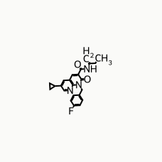 C=C(CC)NC(=O)c1cc2cc(C3CC3)cnc2n(Cc2ccc(F)cc2)c1=O